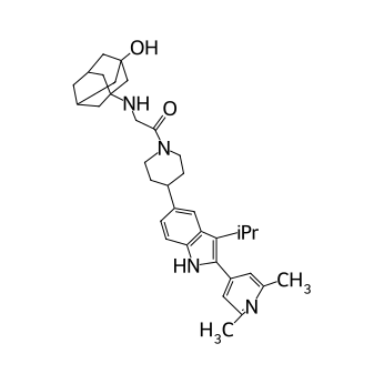 Cc1cc(-c2[nH]c3ccc(C4CCN(C(=O)CNC56CC7CC(CC(O)(C7)C5)C6)CC4)cc3c2C(C)C)cc(C)n1